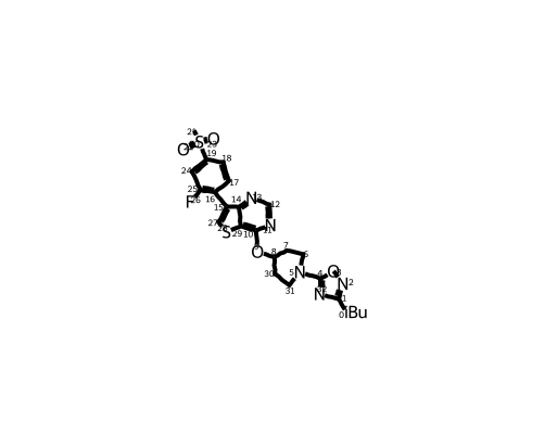 CCC(C)c1noc(N2CCC(Oc3ncnc4c(-c5ccc(S(C)(=O)=O)cc5F)csc34)CC2)n1